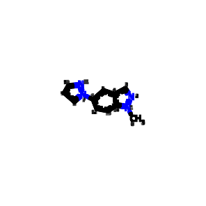 Cn1ncc2cc(-n3cccn3)ccc21